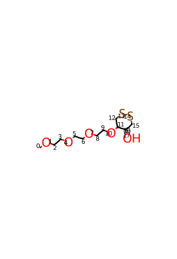 COCCOCCOCCOC1CSSC[C@H]1O